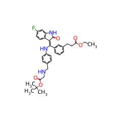 CCOC(=O)CCc1cccc(C(Nc2ccc(CNCC(=O)OC(C)(C)C)cc2)=C2C(=O)Nc3cc(F)ccc32)c1